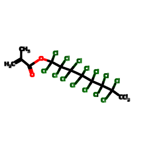 C=C(C)C(=O)OC(Cl)(Cl)C(Cl)(Cl)C(Cl)(Cl)C(Cl)(Cl)C(Cl)(Cl)C(Cl)(Cl)C(Cl)(Cl)C(Cl)(Cl)Cl